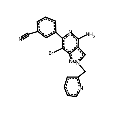 N#Cc1cccc(-c2nc(N)c3cn(Cc4ccccn4)nc3c2Br)c1